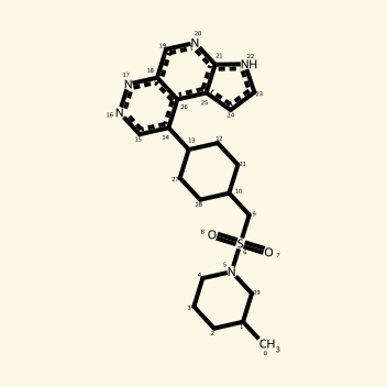 CC1CCCN(S(=O)(=O)CC2CCC(c3cnnc4cnc5[nH]ccc5c34)CC2)C1